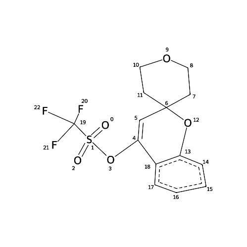 O=S(=O)(OC1=CC2(CCOCC2)Oc2ccccc21)C(F)(F)F